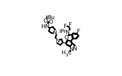 CC(C)N(CC(F)F)C(=O)c1cc(F)ccc1-c1cc([C@H]2CCN(CCN3CCC(NC(=O)OC(C)(C)C)CC3)C2)cc2c1cnn2C